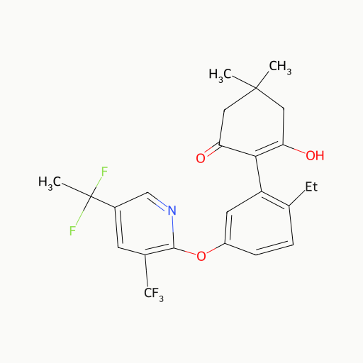 CCc1ccc(Oc2ncc(C(C)(F)F)cc2C(F)(F)F)cc1C1=C(O)CC(C)(C)CC1=O